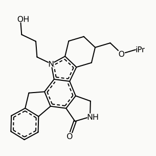 CC(C)OCC1CCc2c(c3c4c(c5c(c3n2CCCO)Cc2ccccc2-5)C(=O)NC4)C1